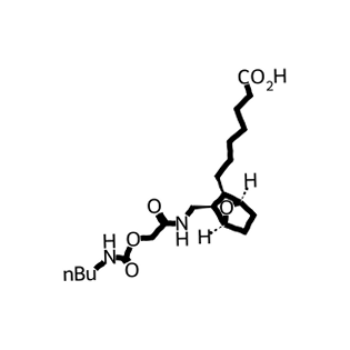 CCCCNC(=O)OCC(=O)NC[C@H]1[C@@H](CCCCCCC(=O)O)[C@H]2CC[C@@H]1O2